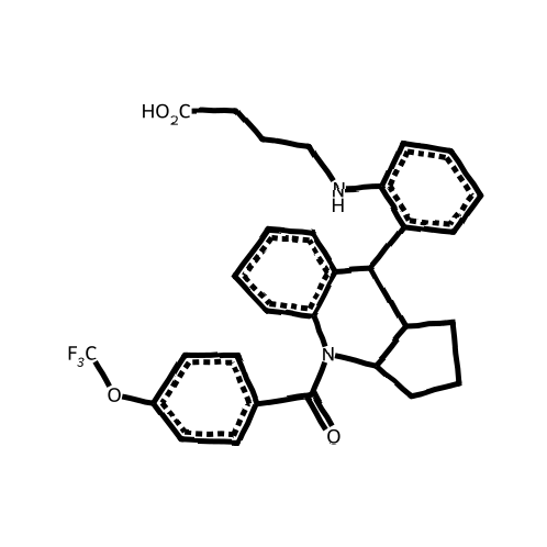 O=C(O)CCCNc1ccccc1C1c2ccccc2N(C(=O)c2ccc(OC(F)(F)F)cc2)C2CCCC12